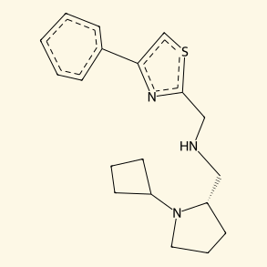 c1ccc(-c2csc(CNC[C@@H]3CCCN3C3CCC3)n2)cc1